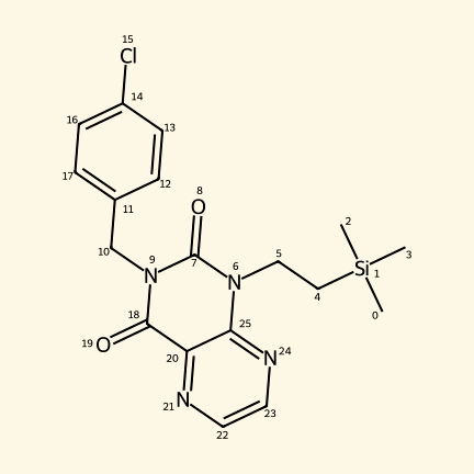 C[Si](C)(C)CCn1c(=O)n(Cc2ccc(Cl)cc2)c(=O)c2nccnc21